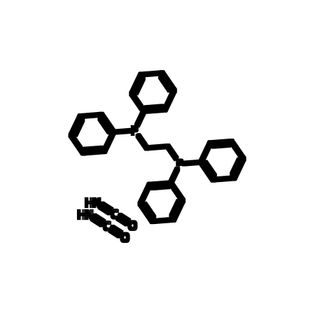 N=C=O.N=C=O.c1ccc(P(CCP(c2ccccc2)c2ccccc2)c2ccccc2)cc1